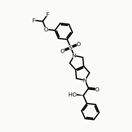 O=C([C@H](O)c1ccccc1)N1CC2=C(C1)CN(S(=O)(=O)c1cccc(OC(F)F)c1)C2